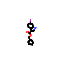 O=C(OCc1ccccc1)c1c[nH]c2cc(I)ccc12